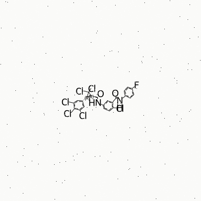 O=C(Nc1ccc(F)cc1)c1cc(NC(=O)[C@H]2[C@H](c3cc(Cl)c(Cl)c(Cl)c3)C2(Cl)Cl)ccc1Cl